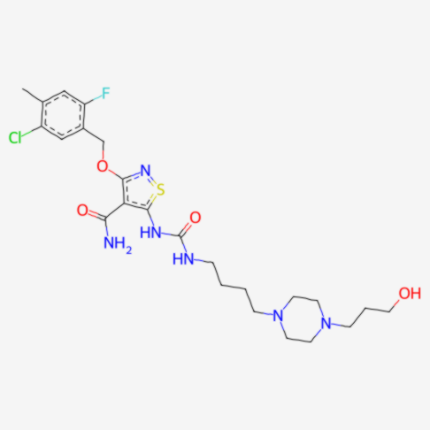 Cc1cc(F)c(COc2nsc(NC(=O)NCCCCN3CCN(CCCO)CC3)c2C(N)=O)cc1Cl